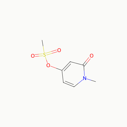 Cn1ccc(OS(C)(=O)=O)cc1=O